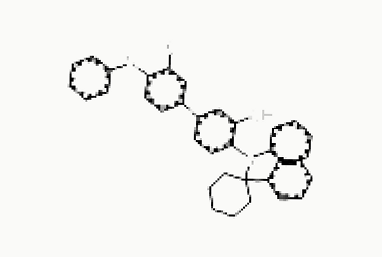 Cc1cc(-c2ccc(N(c3ccccc3)C3(c4ccccc4)CCCCC3)c(C)c2)ccc1Nc1ccccc1